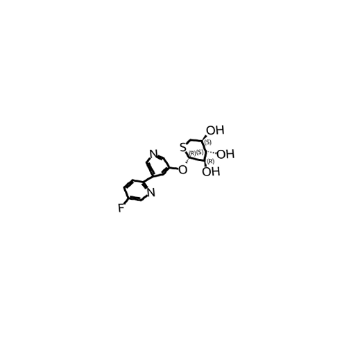 O[C@@H]1[C@@H](O)[C@H](Oc2cncc(-c3ccc(F)cn3)c2)SC[C@H]1O